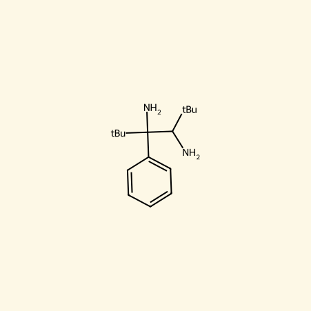 CC(C)(C)C(N)C(N)(c1ccccc1)C(C)(C)C